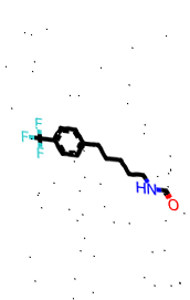 O=CNCCCCCc1ccc(C(F)(F)F)cc1